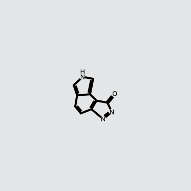 O=C1N=Nc2ccc3c[nH]cc3c21